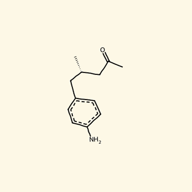 CC(=O)C[C@@H](C)Cc1ccc(N)cc1